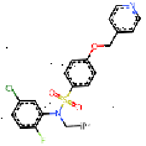 CC(C)CN(c1cc(Cl)ccc1F)S(=O)(=O)c1ccc(OCc2ccncc2)cc1